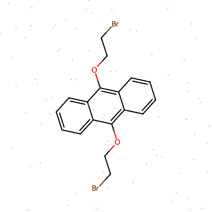 BrCCOc1c2ccccc2c(OCCBr)c2ccccc12